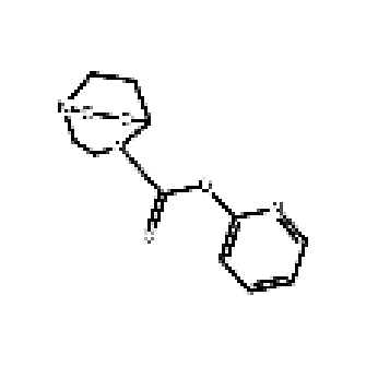 O=C(Oc1ccccn1)N1CCN2CCC1CC2